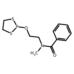 CN(CCOP1SCCS1)C(=O)c1ccccc1